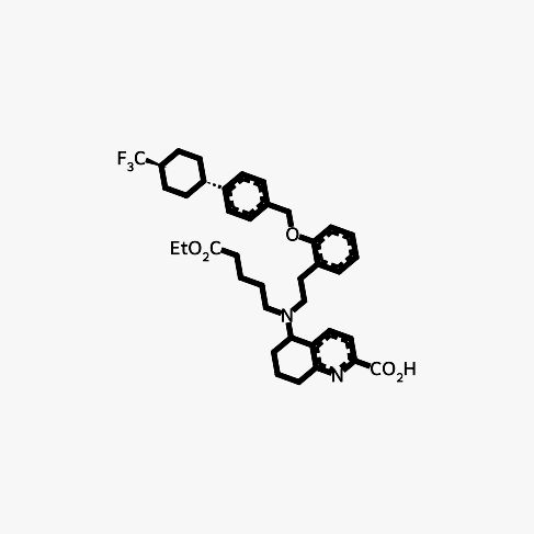 CCOC(=O)CCCCN(CCc1ccccc1OCc1ccc([C@H]2CC[C@H](C(F)(F)F)CC2)cc1)C1CCCc2nc(C(=O)O)ccc21